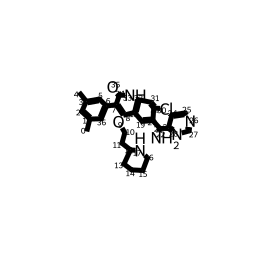 Cc1cc(C)cc(-c2c(OCCC3CCCCN3)c3cc(C(N)c4ccncn4)c(Cl)cc3[nH]c2=O)c1